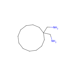 NCC1(CN)CCCCCCCCCCC1